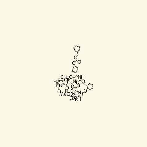 COC(=O)[C@@]1(C)[C@H](C(=O)OC(NC(=O)C(NC(=O)OCc2ccccc2)c2ccc(OC(=O)OCc3ccccc3)cc2)OC(=O)[C@@H]2N3C(=O)C[C@H]3SC2(C)C)N2C(=O)C[C@H]2S1(=O)=O